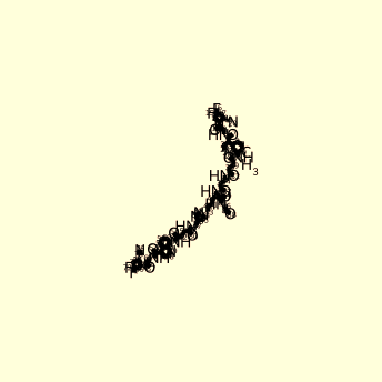 CC1C=Cc2c(C(=O)NCC(=O)N3CC(F)(F)C[C@H]3C#N)ccnc2C1NC(=O)CCC(=O)NCCC(=O)NC(CCCCN1CC(CNC(=O)CCC(=O)Nc2cccc3c(C(=O)NCC(=O)N4CC(F)(F)C[C@H]4C#N)ccnc23)N=N1)C(=O)NCC=O